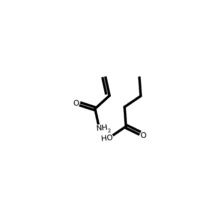 C=CC(N)=O.CCCC(=O)O